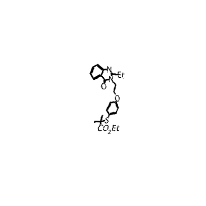 CCOC(=O)C(C)(C)Sc1ccc(OCCn2c(CC)nc3ccccc3c2=O)cc1